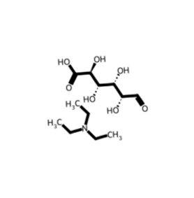 CCN(CC)CC.O=C[C@H](O)[C@@H](O)[C@H](O)[C@H](O)C(=O)O